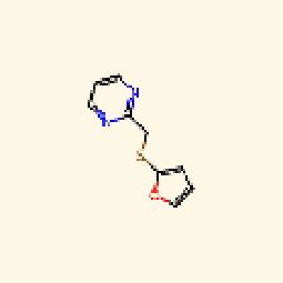 c1cnc(CSc2ccco2)nc1